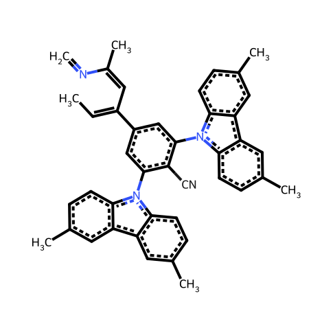 C=N/C(C)=C\C(=C/C)c1cc(-n2c3ccc(C)cc3c3cc(C)ccc32)c(C#N)c(-n2c3ccc(C)cc3c3cc(C)ccc32)c1